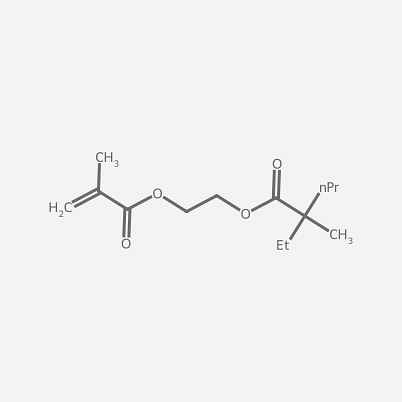 C=C(C)C(=O)OCCOC(=O)C(C)(CC)CCC